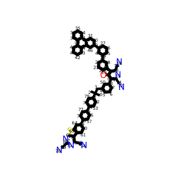 CC(C)(Cc1cccc(-c2c(C#N)nc(C#N)c3c2oc2ccc(-c4cccc(-c5ccc6c7ccccc7c7ccccc7c6c5)c4)cc23)c1)c1ccc(-c2ccc(-c3ccc4c(c3)sc3nc(C#N)nc(C#N)c34)cc2)cc1